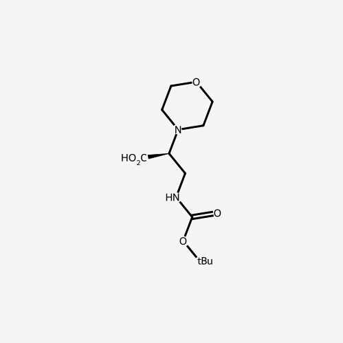 CC(C)(C)OC(=O)NC[C@@H](C(=O)O)N1CCOCC1